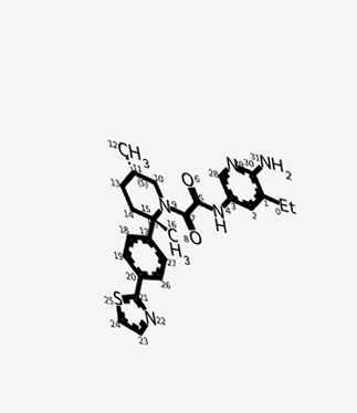 CCc1cc(NC(=O)C(=O)N2C[C@@H](C)CC[C@@]2(C)c2ccc(-c3nccs3)cc2)cnc1N